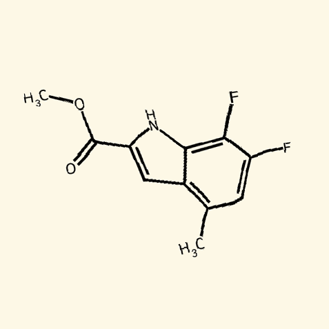 COC(=O)c1cc2c(C)cc(F)c(F)c2[nH]1